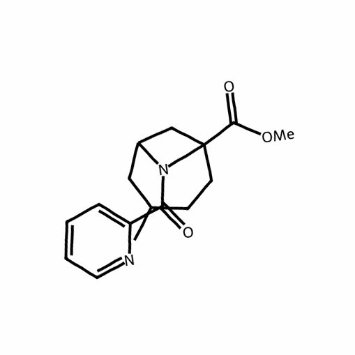 COC(=O)C12CCC(C)CC(C1)N2C(=O)c1ccccn1